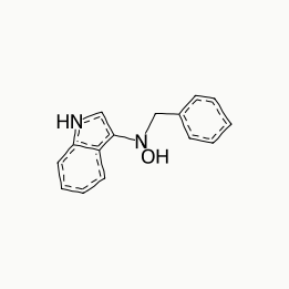 ON(Cc1ccccc1)c1c[nH]c2ccccc12